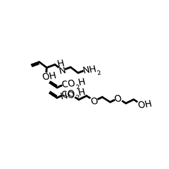 C=CC(=O)O.C=CC(=O)O.C=CC(O)CNCCN.OCCOCCOCCO